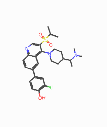 CC(C1CCN(c2c(S(=O)(=O)C(C)C)cnc3ccc(-c4ccc(O)c(Cl)c4)cc23)CC1)N(C)C